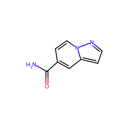 NC(=O)c1ccn2nccc2c1